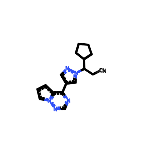 N#CCC(C1CCCC1)n1cc(-c2ncnn3cccc23)cn1